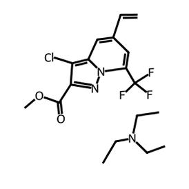 C=Cc1cc(C(F)(F)F)n2nc(C(=O)OC)c(Cl)c2c1.CCN(CC)CC